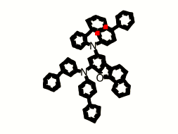 c1ccc(-c2ccc(N(c3cc(N(c4ccc(-c5ccccc5)cc4)c4cccc(-c5ccccc5)c4)c4oc5c6ccccc6ccc5c4c3)c3ccccc3-c3ccccc3)cc2)cc1